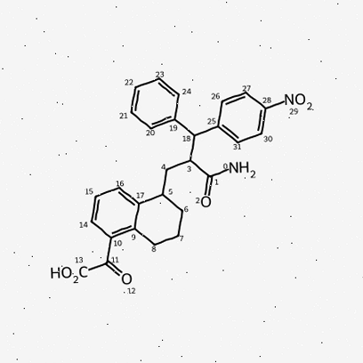 NC(=O)C(CC1CCCc2c(C(=O)C(=O)O)cccc21)C(c1ccccc1)c1ccc([N+](=O)[O-])cc1